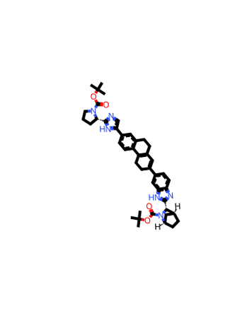 CC(C)(C)OC(=O)N1CCC[C@H]1c1ncc(-c2ccc3c(c2)CCC2=C3CCC(c3ccc4nc([C@@H]5[C@H]6CC[C@H](C6)N5C(=O)OC(C)(C)C)[nH]c4c3)=C2)[nH]1